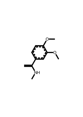 C=C(NC)c1ccc(OC)c(OC)c1